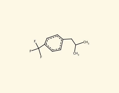 CC(C)Cc1ccc(C(F)(F)F)cc1